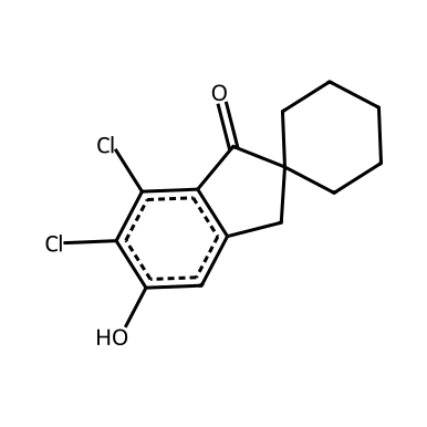 O=C1c2c(cc(O)c(Cl)c2Cl)CC12CCCCC2